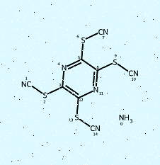 N.N#CSc1nc(SC#N)c(SC#N)nc1SC#N